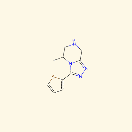 CC1CNCc2nnc(-c3cccs3)n21